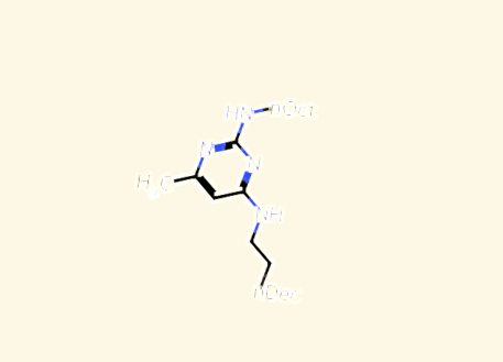 CCCCCCCCCCCCNc1cc(C)nc(NCCCCCCCC)n1